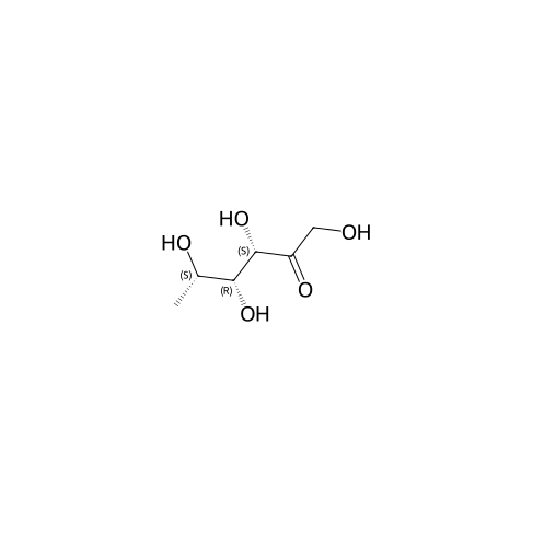 C[C@H](O)[C@@H](O)[C@H](O)C(=O)CO